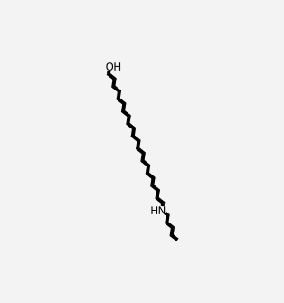 CCCCCNCCCCCCCCCCCCCCCCCCCCCCO